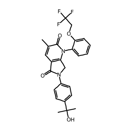 Cc1cc2c(n(-c3ccccc3OCC(F)(F)F)c1=O)CN(c1ccc(C(C)(C)O)cc1)C2=O